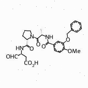 COc1ccc(C(=O)N[C@@H](C)C(=O)N2CCC[C@H]2C(=O)N[C@H](C=O)CC(=O)O)cc1OCc1ccccc1